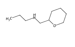 CCCNCC1CCCCO1